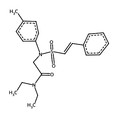 CCN(CC)C(=O)CN(c1ccc(C)cc1)S(=O)(=O)C=Cc1ccccc1